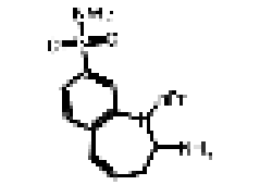 CCCN1c2cc(S(=O)(=O)NC)ccc2C=CCC1N